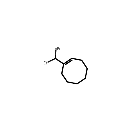 CCCC(CC)/C1=C/CCCCCC1